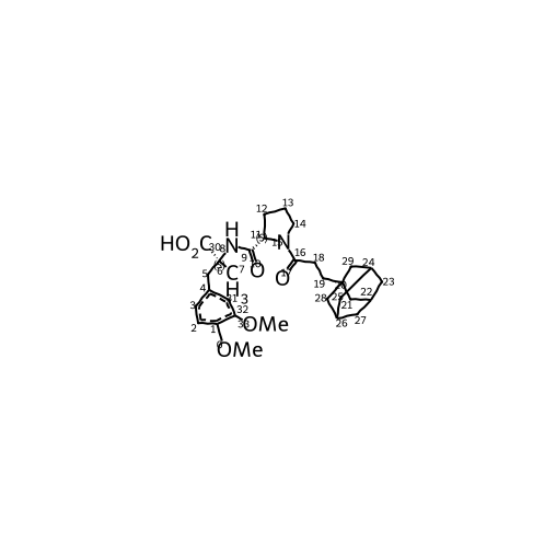 COc1ccc(C[C@](C)(NC(=O)[C@@H]2CCCN2C(=O)CCC23CC4CC(CC(C4)C2)C3)C(=O)O)cc1OC